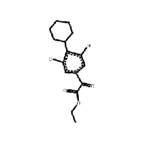 CCOC(=O)C(=O)c1cc(Cl)c(C2CCCCC2)c(Br)c1